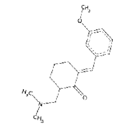 COc1cccc(C=C2CCCC(CN(C)C)C2=O)c1